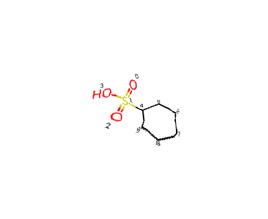 O=S(=O)(O)C1CCCCC1